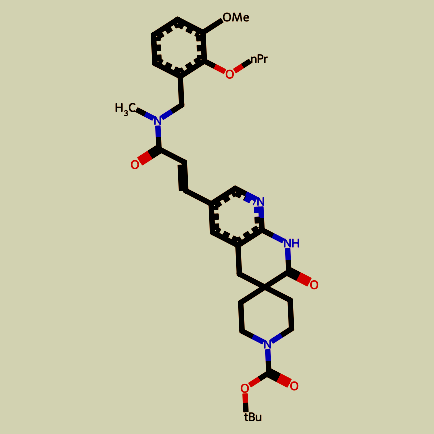 CCCOc1c(CN(C)C(=O)/C=C/c2cnc3c(c2)CC2(CCN(C(=O)OC(C)(C)C)CC2)C(=O)N3)cccc1OC